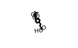 CC(C)S(=O)(=O)Oc1ccc(C=CC(=O)O)cc1